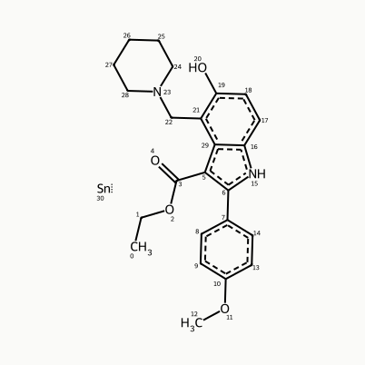 CCOC(=O)c1c(-c2ccc(OC)cc2)[nH]c2ccc(O)c(CN3CCCCC3)c12.[Sn]